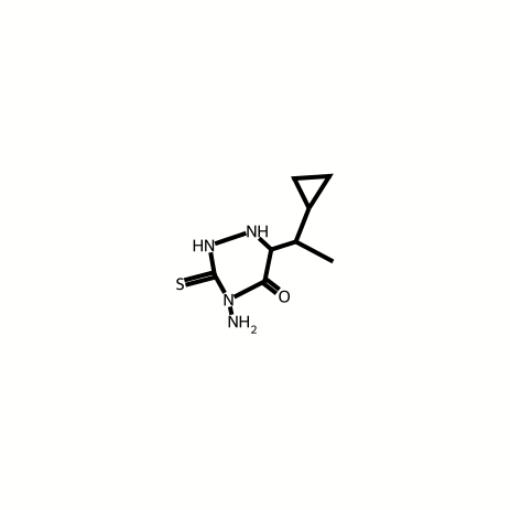 CC(C1CC1)C1NNC(=S)N(N)C1=O